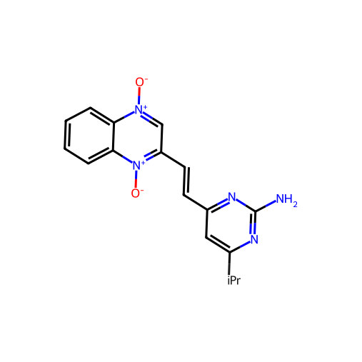 CC(C)c1cc(C=Cc2c[n+]([O-])c3ccccc3[n+]2[O-])nc(N)n1